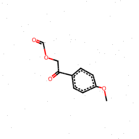 COc1ccc(C(=O)CO[C]=O)cc1